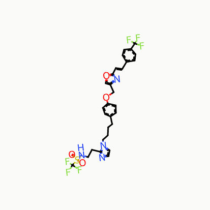 O=S(=O)(NCCc1nccn1CCCCc1ccc(OCc2coc(C=Cc3ccc(C(F)(F)F)cc3)n2)cc1)C(F)(F)F